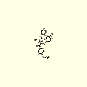 CCOC(=O)c1ccc(NC(=O)NCCN2CCN=C2c2ccccc2Cl)cc1.Cl